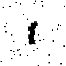 CC(C)(C)OC(=O)N1CCN(c2ccc(-c3cn(Cc4ccc(-c5nnc(C(F)F)o5)cc4F)nn3)cc2F)CC1